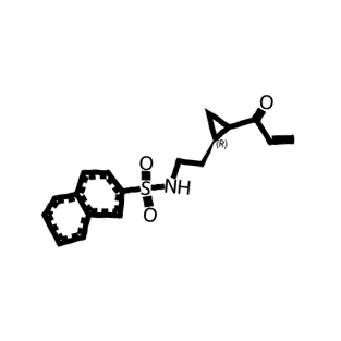 C=CC(=O)C1C[C@@H]1CCNS(=O)(=O)c1ccc2ccccc2c1